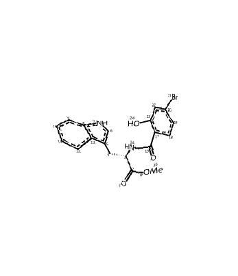 COC(=O)[C@H](Cc1c[nH]c2ccccc12)NC(=O)c1ccc(Br)cc1O